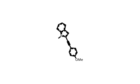 COc1ccc(C#Cc2cc3ccccc3n2C)cc1